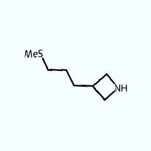 CSCCCC1CNC1